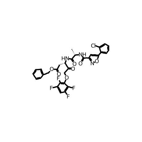 C[C@H](NC(=O)c1cc(-c2ccccc2Cl)on1)C(=O)N[C@@H](CC(=O)OCc1ccccc1)C(=O)COc1c(F)c(F)cc(F)c1F